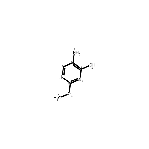 COc1ncc(N)c(O)n1